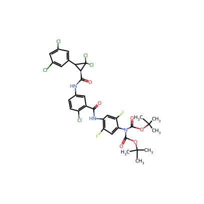 CC(C)(C)OC(=O)N(C(=O)OC(C)(C)C)c1cc(F)c(NC(=O)c2cc(NC(=O)[C@H]3C(c4cc(Cl)cc(Cl)c4)C3(Cl)Cl)ccc2Cl)cc1F